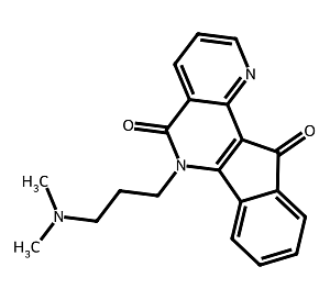 CN(C)CCCn1c2c(c3ncccc3c1=O)C(=O)c1ccccc1-2